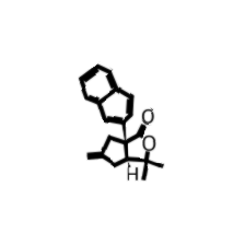 C=C1C[C@@H]2C(C)(C)OC(=O)[C@@]2(c2ccc3ccccc3c2)C1